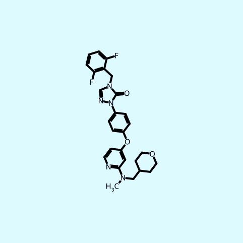 CN(CC1CCOCC1)c1cc(Oc2ccc(-n3ncn(Cc4c(F)cccc4F)c3=O)cc2)ccn1